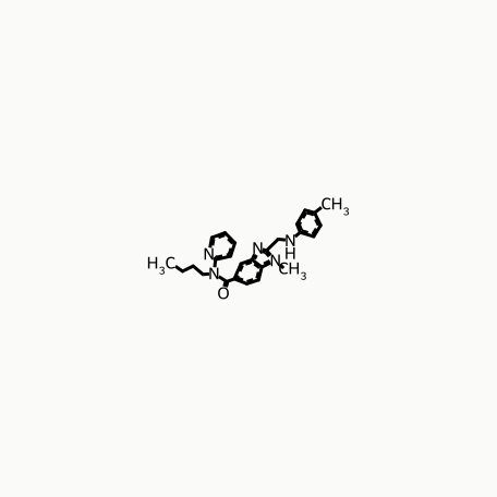 CCCCN(C(=O)c1ccc2c(c1)nc(CNc1ccc(C)cc1)n2C)c1ccccn1